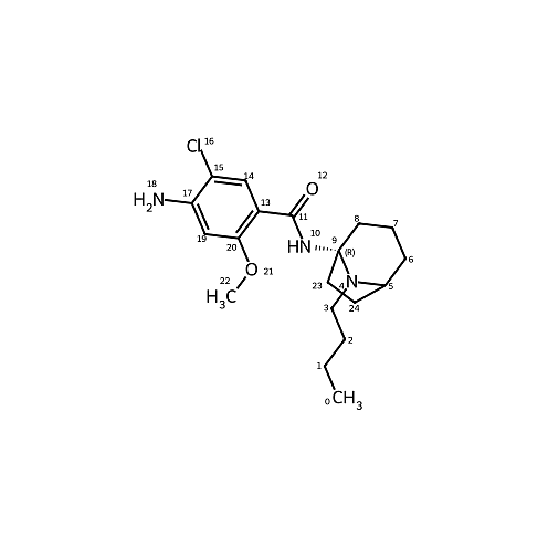 CCCCN1C2CCC[C@]1(NC(=O)c1cc(Cl)c(N)cc1OC)CC2